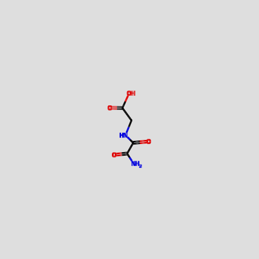 NC(=O)C(=O)NCC(=O)O